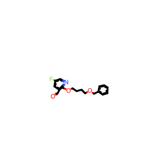 O=Cc1cc(F)cnc1OCCCCOCc1ccccc1